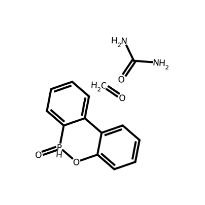 C=O.NC(N)=O.O=[PH]1Oc2ccccc2-c2ccccc21